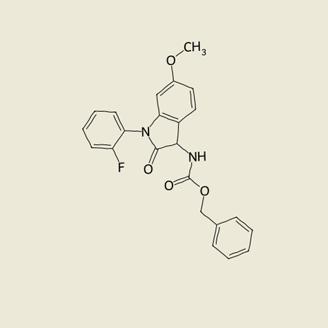 COc1ccc2c(c1)N(c1ccccc1F)C(=O)C2NC(=O)OCc1ccccc1